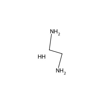 NCCN.[HH]